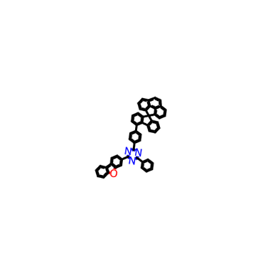 c1ccc(-c2nc(-c3ccc(-c4cccc5c4-c4ccccc4C54c5cccc6ccc7cccc4c7c56)cc3)nc(-c3ccc4c(c3)oc3ccccc34)n2)cc1